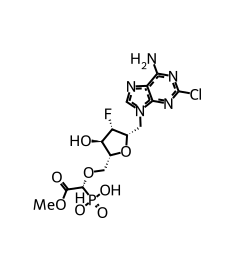 COC(=O)[C@H](OC[C@H]1O[C@@H](Cn2cnc3c(N)nc(Cl)nc32)[C@@H](F)[C@@H]1O)P(=O)(O)O